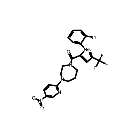 O=C(c1cc(C(F)(F)F)nn1-c1ccccc1Cl)N1CCCN(c2ccc([N+](=O)[O-])cn2)CC1